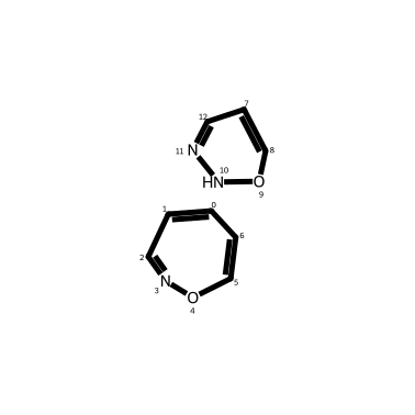 C1=CC=NOC=C1.C1=CONN=C1